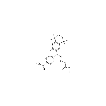 C/C=C(\C)CO/N=C(\c1ccc(C(=O)O)cc1)c1cc2c(cc1C)C(C)(C)CCC2(C)C